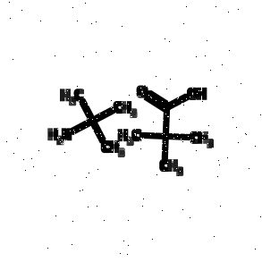 CC(C)(C)C(=O)O.CC(C)(C)N